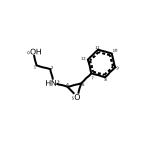 OCCNC1OC1c1ccccc1